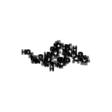 CNc1cc(Nc2cccn(-c3ccccn3)c2=O)nn2c(C(=O)NC3(C)CCN(CCNc4cc(Nc5cccn(-c6ccccn6)c5=O)nn5c(C(=O)NC6CN(CCO)C6)cnc45)C3=O)cnc12